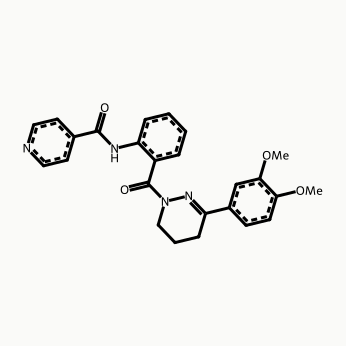 COc1ccc(C2=NN(C(=O)c3ccccc3NC(=O)c3ccncc3)CCC2)cc1OC